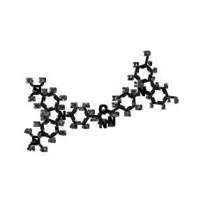 Cc1ccc2c(c1)c1cc(C)ccc1n2-c1ccc(-c2nnc(-c3ccc(-n4c5ccc([Si](C)(C)C)cc5c5cc([Si](C)(C)C)ccc54)cc3)o2)cc1